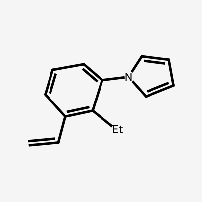 C=Cc1cccc(-n2cccc2)c1CC